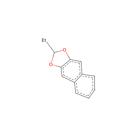 CCC1Oc2cc3ccccc3cc2O1